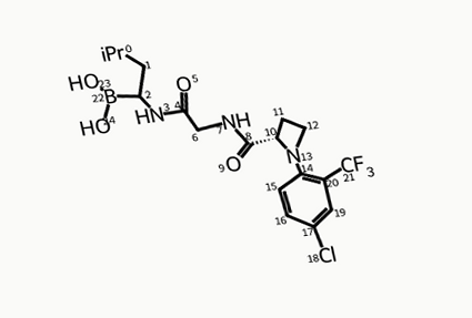 CC(C)CC(NC(=O)CNC(=O)[C@@H]1CCN1c1ccc(Cl)cc1C(F)(F)F)B(O)O